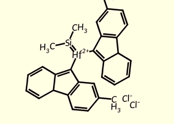 Cc1ccc2c(c1)[C]([Hf+2]([C]1=C3C=CC=CC3c3ccc(C)cc31)=[Si](C)C)=C1C=CC=CC12.[Cl-].[Cl-]